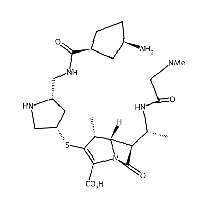 CNCC(=O)N[C@H](C)[C@H]1C(=O)N2C(C(=O)O)=C(S[C@@H]3CN[C@H](CNC(=O)[C@H]4CC[C@@H](N)C4)C3)[C@H](C)[C@H]12